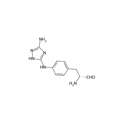 Nc1n[nH]c(Nc2ccc(C[C@@H](N)C=O)cc2)n1